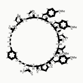 COc1ccc(C[C@@H]2NC(=O)[C@@H](CC(C)C)NC(=O)[C@H](CC(C)C)NC(=O)CCSCc3cccc(c3)CSC[C@@H](C(N)=O)NC(=O)[C@]3(C)CCCN3C(=O)[C@H](Cc3ccc(OC)cc3)NC(=O)[C@H]([C@@H](C)OC)NC(=O)[C@H](CC(C)C)N(C)C(=O)[C@H](Cc3ccc(OC)cc3)NC2=O)cc1